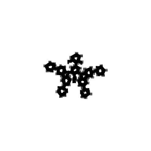 N#Cc1c(-n2c3ccc(-c4ncccn4)cc3c3cc(-c4ncccn4)ccc32)cc(-c2c(F)cccc2F)cc1-n1c2ccc(-c3ncccn3)cc2c2cc(-c3ncccn3)ccc21